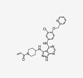 C=CC(=O)N1CCC(Nc2n[nH]c3ncnc(Nc4ccc(OCc5ccccn5)c(Cl)c4)c23)CC1